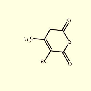 CCC1=C(C)CC(=O)OC1=O